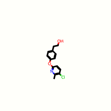 Cc1nc(Oc2ccc(CCO)cc2)ccc1Cl